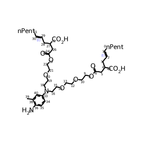 CCCCC/C=C/CC(CC(=O)OCCOCCOCCN(CCOCCOC(=O)CC(C/C=C/CCCCC)C(=O)O)c1ccc(N)c(C)c1)C(=O)O